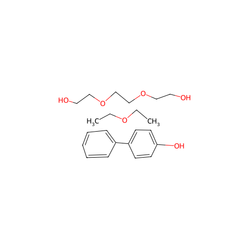 CCOCC.OCCOCCOCCO.Oc1ccc(-c2ccccc2)cc1